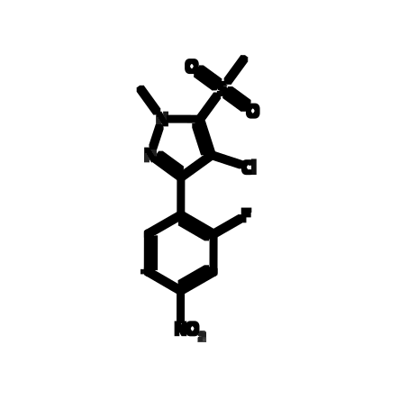 Cn1nc(-c2c[c]c([N+](=O)[O-])cc2F)c(Cl)c1S(C)(=O)=O